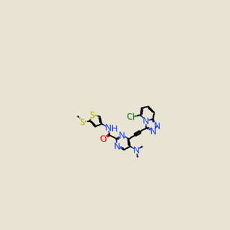 CSc1cc(NC(=O)c2ncc(N(C)C)c(C#Cc3nnc4cccc(Cl)n34)n2)cs1